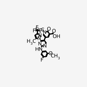 COc1cc(F)cc(Nc2ncc(-c3cc(C(=O)O)c(=O)n(C)c3)c(-n3nc(C(F)(F)F)cc3C)n2)c1